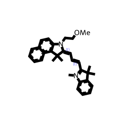 COCCN1/C(=C/C=C/C2=[N+](C)c3ccccc3C2(C)C)C(C)(C)c2c1ccc1ccccc21